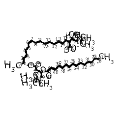 CCCCCC/C=C\CCCCCCCCC(C(=O)[O-])C(O)C[N+](C)(C)C.CCCCCCCCCCCCCC=CC(=O)OC(CC(=O)[O-])C[N+](C)(C)C